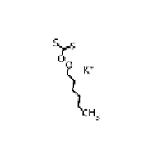 CCCCCCOOC(=S)[S-].[K+]